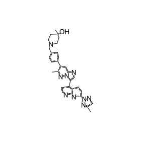 Cc1cnn(-c2ccc3c(-c4cnc5cc(-c6ccc(CN7CCC(C)(O)CC7)cc6)c(C)nn45)ccnc3n2)n1